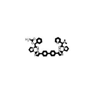 CN(C)C(C(=O)N1CCC[C@H]1c1ncc(-c2ccc(-c3ccc(-c4cnc([C@@H]5CCCN5C(=O)[C@H](OC(N)=O)c5ccccc5)[nH]4)cc3)cc2)[nH]1)c1ccccn1